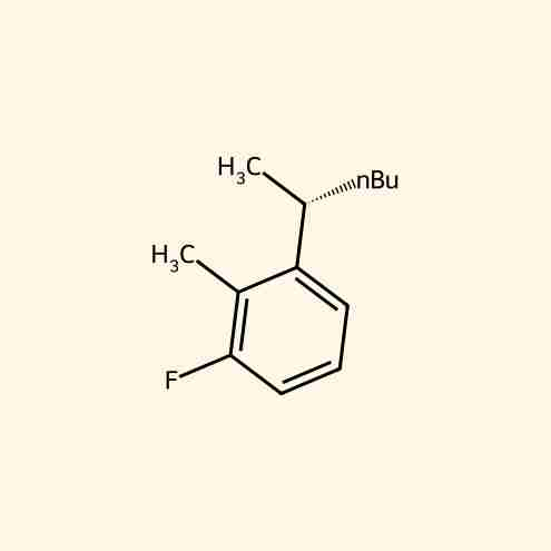 CCCC[C@@H](C)c1cccc(F)c1C